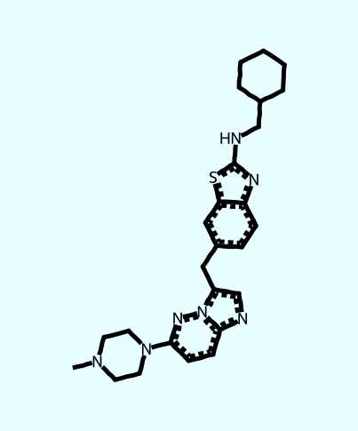 CN1CCN(c2ccc3ncc(Cc4ccc5nc(NCC6CCCCC6)sc5c4)n3n2)CC1